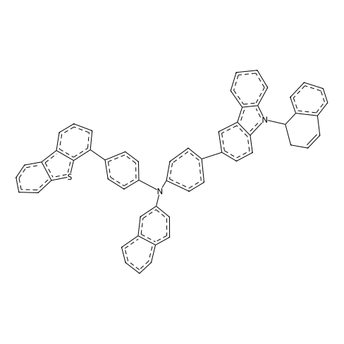 C1=Cc2ccccc2C(n2c3ccccc3c3cc(-c4ccc(N(c5ccc(-c6cccc7c6sc6ccccc67)cc5)c5ccc6ccccc6c5)cc4)ccc32)C1